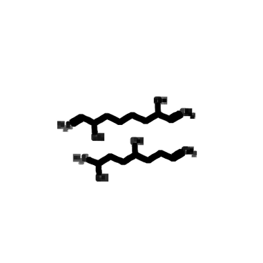 C=CC(O)CCCCC(O)C=C.C=CCCC(O)CCC(C)O